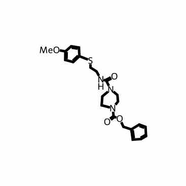 COc1ccc(SCCNC(=O)N2CCN(C(=O)OCc3ccccc3)CC2)cc1